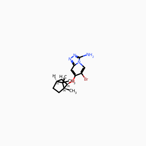 CC1(C)[C@H]2CC[C@@]1(C)[C@H](Oc1cc3nnc(N)n3cc1Br)C2